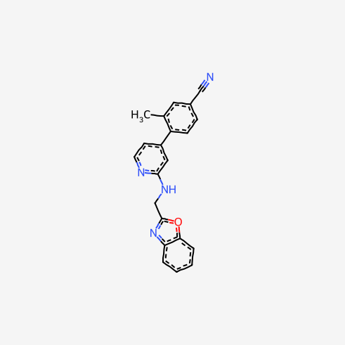 Cc1cc(C#N)ccc1-c1ccnc(NCc2nc3ccccc3o2)c1